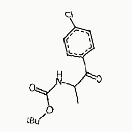 CC(NC(=O)OC(C)(C)C)C(=O)c1ccc(Cl)cc1